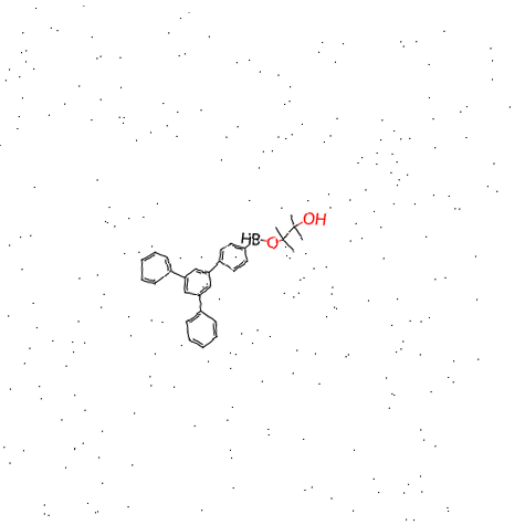 CC(C)(O)C(C)(C)OBc1ccc(-c2cc(-c3ccccc3)cc(-c3ccccc3)c2)cc1